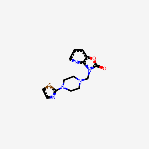 O=c1oc2cccnc2n1CN1CCN(c2nccs2)CC1